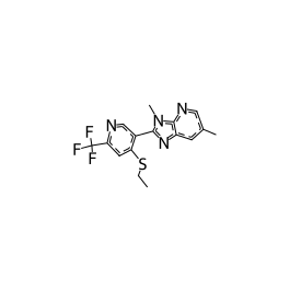 CCSc1cc(C(F)(F)F)ncc1-c1nc2cc(C)cnc2n1C